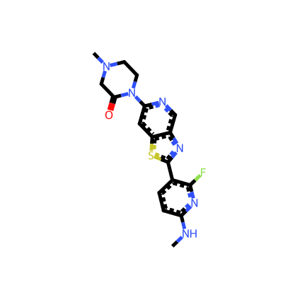 CNc1ccc(-c2nc3cnc(N4CCN(C)CC4=O)cc3s2)c(F)n1